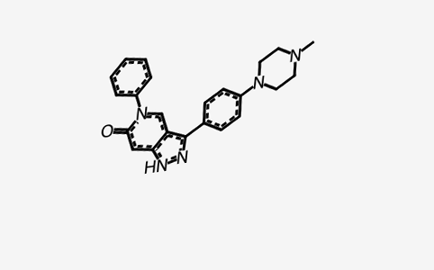 CN1CCN(c2ccc(-c3n[nH]c4cc(=O)n(-c5ccccc5)cc34)cc2)CC1